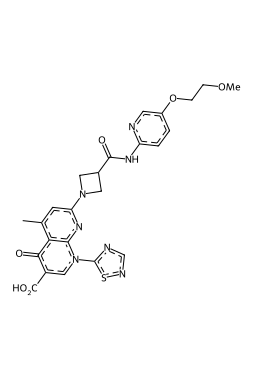 COCCOc1ccc(NC(=O)C2CN(c3cc(C)c4c(=O)c(C(=O)O)cn(-c5ncns5)c4n3)C2)nc1